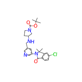 CC(C)(C)OC(=O)N1CCC(NCc2cncc(N3C(=O)c4ccc(Cl)cc4C3(C)C)c2)C1